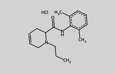 CCCN1CC=CCC1C(=O)Nc1c(C)cccc1C.Cl